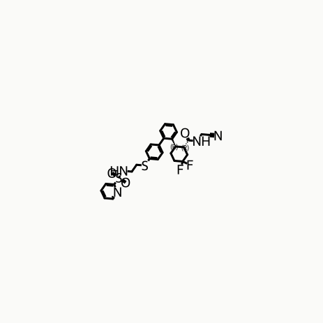 N#CCNC(=O)[C@@H]1CC(F)(F)CC[C@H]1c1ccccc1-c1ccc(SCCNS(=O)(=O)c2ccccn2)cc1